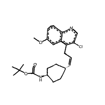 COc1ccc2ncc(Cl)c(C/C=C\[C@H]3CC[C@H](NC(=O)OC(C)(C)C)CC3)c2c1